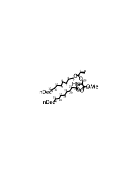 C=CC(=O)OCCCCCCCCCCCCCCCCCC.CCCCCCCCCCCCCCCCCC(=O)NC(C)C(=O)OC